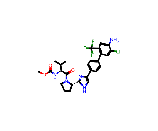 COC(=O)N[C@H](C(=O)N1CCC[C@H]1c1nc(-c2ccc(-c3cc(Cl)c(N)cc3C(F)(F)F)cc2)c[nH]1)C(C)C